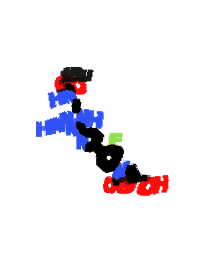 CC(C)(C)OC(=O)NCCN/C(=N\N=N)c1ccc(-c2ccc(N3C[C@H](CO)OC3=O)cc2F)cn1